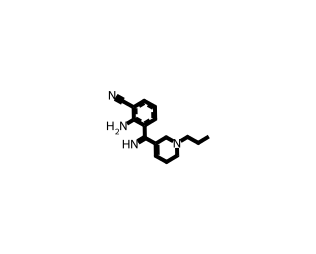 CCCN1CCC=C(C(=N)c2cccc(C#N)c2N)C1